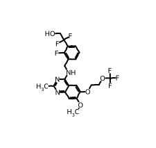 COc1cc2nc(C)nc(NCc3cccc(C(F)(F)CO)c3F)c2cc1OCCOC(F)(F)F